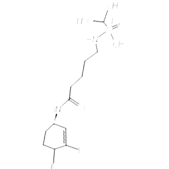 CC(C)[SH](C)(=O)NCCCCC(=O)N[C@H]1C=C(F)C(F)CC1